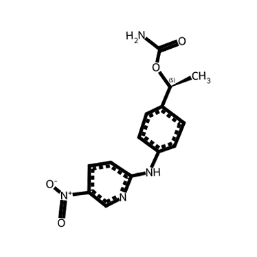 C[C@H](OC(N)=O)c1ccc(Nc2ccc([N+](=O)[O-])cn2)cc1